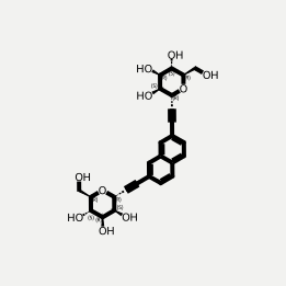 OC[C@H]1O[C@H](C#Cc2ccc3ccc(C#C[C@H]4O[C@H](CO)[C@@H](O)[C@H](O)[C@@H]4O)cc3c2)[C@@H](O)[C@@H](O)[C@@H]1O